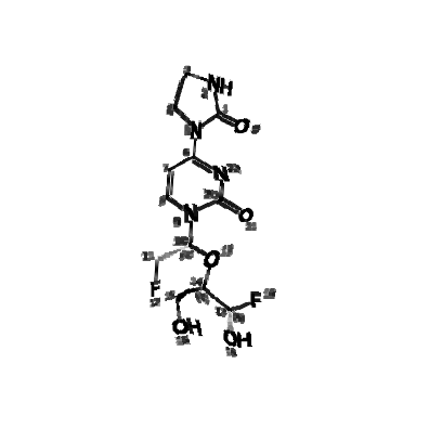 O=C1NCCN1c1ccn([C@@H](CF)O[C@H](CO)[C@@H](O)F)c(=O)n1